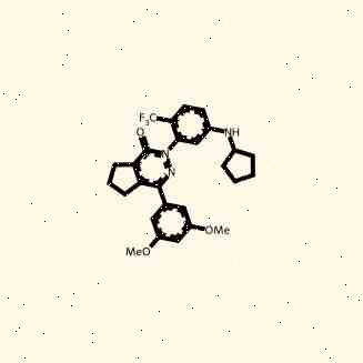 COc1cc(OC)cc(-c2nn(-c3cc(NC4CCCC4)ccc3C(F)(F)F)c(=O)c3c2CCC3)c1